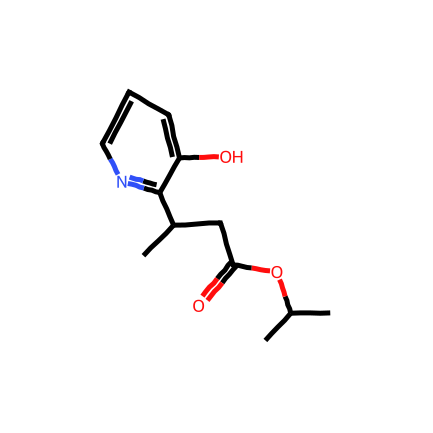 CC(C)OC(=O)CC(C)c1ncccc1O